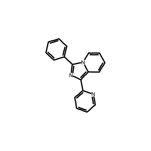 c1ccc(-c2nc(-c3ccccn3)c3ccccn23)cc1